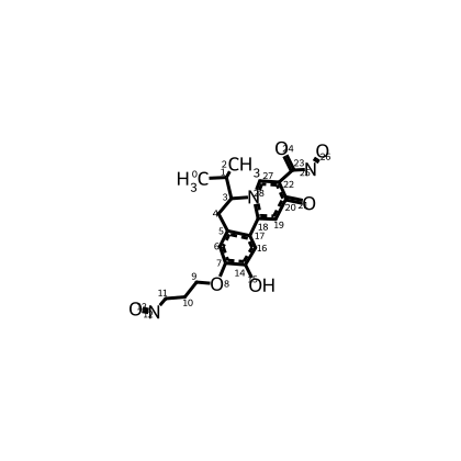 CC(C)C1Cc2cc(OCCCN=O)c(O)cc2-c2cc(=O)c(C(=O)N=O)cn21